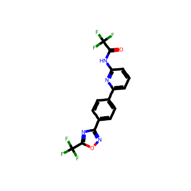 O=C(Nc1cccc(-c2ccc(-c3noc(C(F)(F)F)n3)cc2)n1)C(F)(F)F